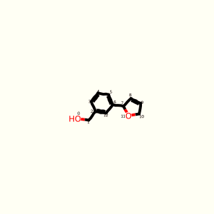 OCc1cccc(C2C=CCO2)c1